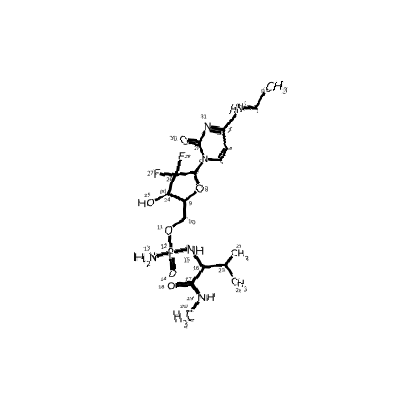 CCNc1ccn(C2OC(COP(N)(=O)NC(C(=O)NC)C(C)C)[C@@H](O)C2(F)F)c(=O)n1